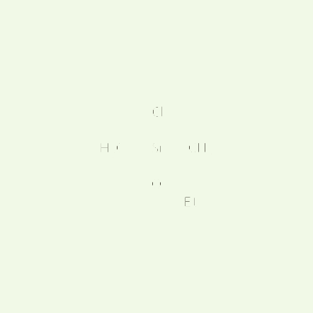 CCO[Si](C)(C)Cl